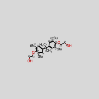 CC(C)(C)c1cc(C(C)(C)c2cc(C(C)(C)C)c(OCCO)c(C(C)(C)C)c2)cc(C(C)(C)C)c1OCCO